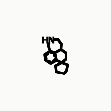 c1cc2c3c(c1)C1(CCCCC1)CCC3CCNC2